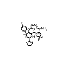 COC(=O)OC1=C(CN2CC(F)(F)C[C@H]2C(N)=O)NC(c2nccs2)=N[C@@]1(C)c1ccc(F)cc1